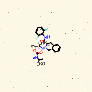 CC(C)[C@@H](C=O)N(OC(=O)N(C)[C@@H](C)C=O)N1Cc2ccccc2C[C@H]1C(=O)Nc1c(F)cccc1F